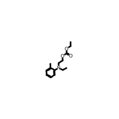 CCOC(=O)OCCN(CC)c1ccccc1C